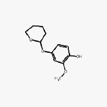 COc1cc(OC2CCCCO2)ccc1O